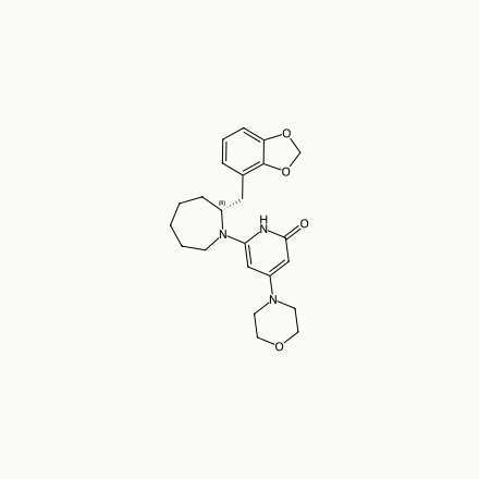 O=c1cc(N2CCOCC2)cc(N2CCCCC[C@@H]2Cc2cccc3c2OCO3)[nH]1